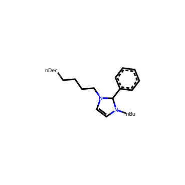 CCCCCCCCCCCCCCN1C=CN(CCCC)C1c1ccccc1